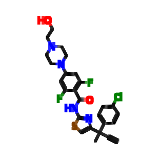 C#CC(C)(c1ccc(Cl)cc1)c1csc(NC(=O)c2c(F)cc(N3CCN(CCO)CC3)cc2F)n1